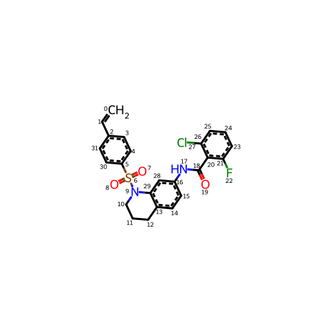 C=Cc1ccc(S(=O)(=O)N2CCCc3ccc(NC(=O)c4c(F)cccc4Cl)cc32)cc1